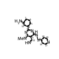 CNc1nc(-c2cccc(N)c2)nc(NCc2ccncc2)c1C=N